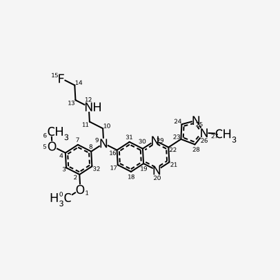 COc1cc(OC)cc(N(CCNCCF)c2ccc3ncc(-c4cnn(C)c4)nc3c2)c1